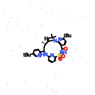 C[C@H]1CC(c2ccc(C(C)(C)C)cn2)Nc2cccc(n2)S(=O)(=O)NC(=O)c2ccc(C(C)(C)C)nc2N2C[C@@H]1CC2(C)C